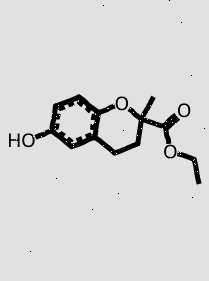 CCOC(=O)C1(C)CCc2cc(O)ccc2O1